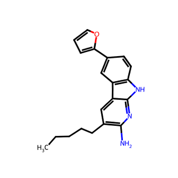 CCCCCc1cc2c(nc1N)[nH]c1ccc(-c3ccco3)cc12